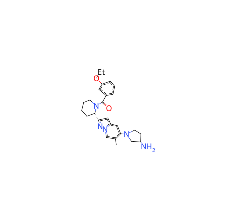 CCOc1cccc(C(=O)N2CCCC[C@H]2c2cc3cc(N4CC[C@H](N)C4)c(C)cn3n2)c1